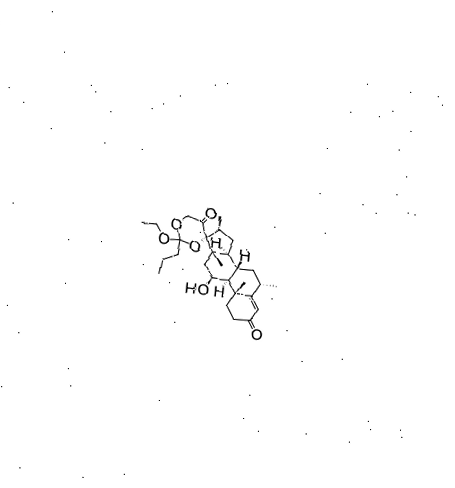 CCCC1(OCC)OCC(=O)[C@@]2(O1)[C@@H](C)C[C@H]1[C@@H]3C[C@H](C)C4=CC(=O)CC[C@]4(C)[C@H]3[C@@H](O)C[C@@]12C